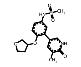 Cc1cc(-c2cc(NS(C)(=O)=O)ccc2OC2CCOC2)c[nH]c1=O